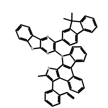 C=Cc1ccccc1-c1c(C)sc2c1c1ccccc1c1c3ccccc3n(-c3nc4oc5ccccc5c4nc3-c3ccc4c(c3)C(C)(C)c3ccccc3-4)c21